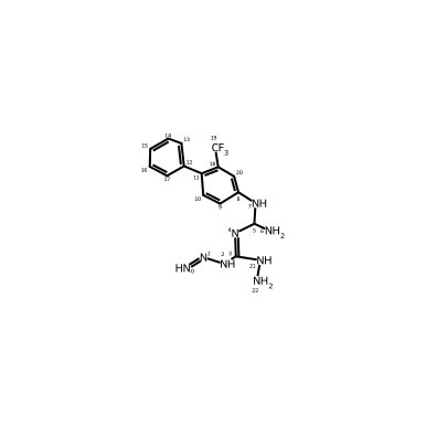 N=NN/C(=N/C(N)Nc1ccc(-c2ccccc2)c(C(F)(F)F)c1)NN